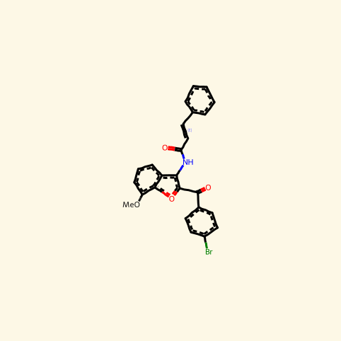 COc1cccc2c(NC(=O)/C=C/c3ccccc3)c(C(=O)c3ccc(Br)cc3)oc12